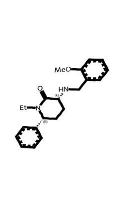 CCN1C(=O)[C@H](NCc2ccccc2OC)CC[C@@H]1c1ccccc1